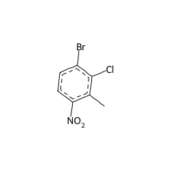 Cc1c([N+](=O)[O-])ccc(Br)c1Cl